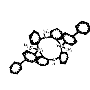 CN1c2ccccc2[PH](C)(c2ccc(-c3ccccc3)cc2)c2ccccc2Nc2ccccc2[PH](C)(c2ccc(-c3ccccc3)cc2)c2ccccc21